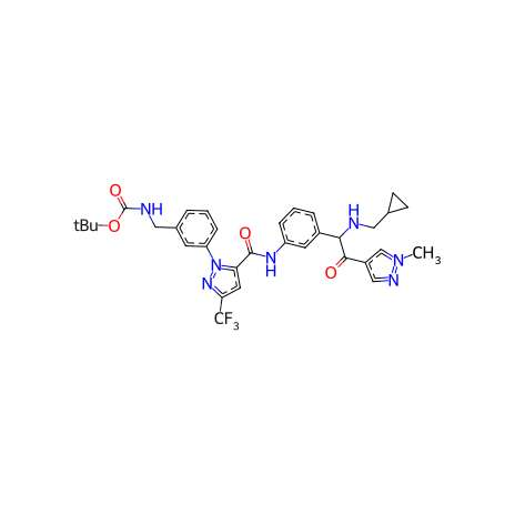 Cn1cc(C(=O)C(NCC2CC2)c2cccc(NC(=O)c3cc(C(F)(F)F)nn3-c3cccc(CNC(=O)OC(C)(C)C)c3)c2)cn1